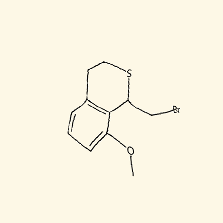 COc1cccc2c1C(CBr)SCC2